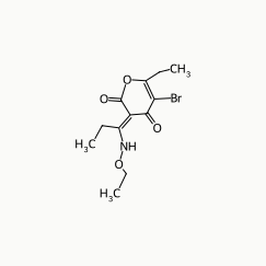 CCONC(CC)=C1C(=O)OC(CC)=C(Br)C1=O